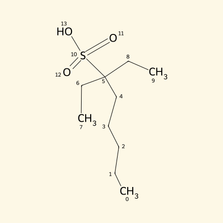 CCCCCC(CC)(CC)S(=O)(=O)O